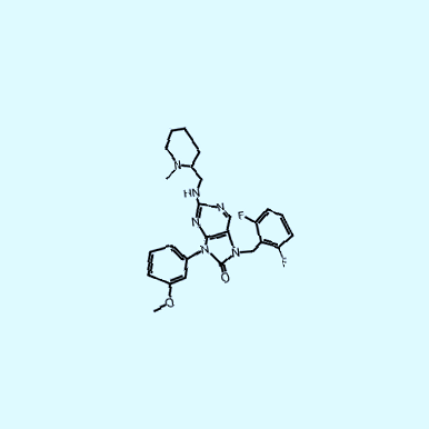 COc1cccc(-n2c(=O)n(Cc3c(F)cccc3F)c3cnc(NCC4CCCCN4C)nc32)c1